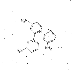 Nc1ccnc(-c2cc(N)ccn2)c1.Nc1ccncc1